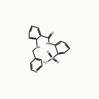 CS(=O)(=O)c1ccccc1NC(=O)c1ccccc1NCc1ccncc1